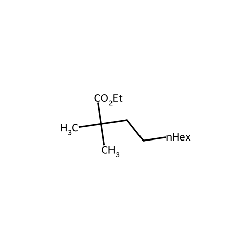 CCCCCCCCC(C)(C)C(=O)OCC